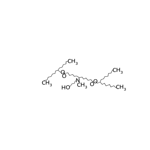 CCCCCCCCC(CCCCCC)COC(=O)CCCCCC(CCCCCC(=O)OCC(CCCCCCCC)CCCCCCCC)N(CC)CCCCO